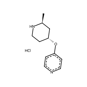 C[C@H]1C[C@H](Oc2ccncc2)CCN1.Cl